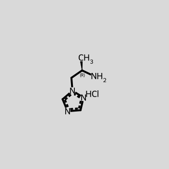 C[C@@H](N)Cn1cncn1.Cl